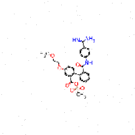 COCCOc1ccc(-c2ccccc2C(=O)Nc2ccc(C(=N)N)cc2)c(C(=O)OS(C)(=O)=O)c1